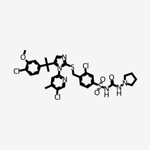 COc1cc(C(C)(C)c2cnc(SCc3ccc(S(=O)(=O)NC(=O)NN4CCCC4)cc3Cl)n2-c2cc(C)c(Cl)cn2)ccc1Cl